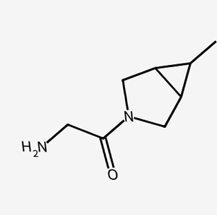 CC1C2CN(C(=O)CN)CC12